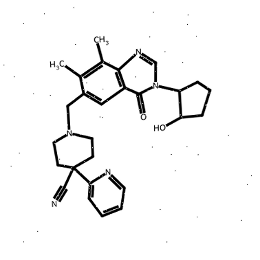 Cc1c(CN2CCC(C#N)(c3ccccn3)CC2)cc2c(=O)n(C3CCCC3O)cnc2c1C